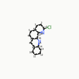 Clc1ccc2ccc3cc4ccccc4nc3c2n1